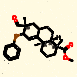 COC(=O)[C@]1(C)CCC[C@@]2(C)C3=CC(Sc4ccccc4)[C@](C)(C=O)CC3CC[C@H]12